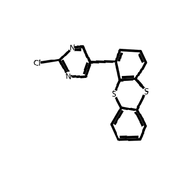 Clc1ncc(-c2cccc3c2Sc2ccccc2S3)cn1